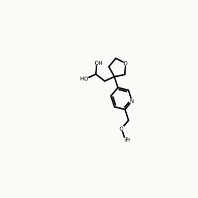 CC(C)OCc1ccc(C2(CC(O)O)CCOC2)cn1